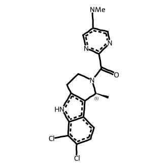 CNc1cnc(C(=O)N2CCc3[nH]c4c(Cl)c(Cl)ccc4c3[C@@H]2C)nc1